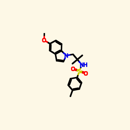 COc1ccc2c(ccn2CC(C)(C)NS(=O)(=O)c2ccc(C)cc2)c1